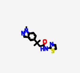 Cn1ncc2cc(C(C)(C)CC(=O)Nc3nccs3)ccc21